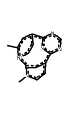 Cc1cc2cc[n+]1c1cc(cc[n+]1C)c1ncnc2n1